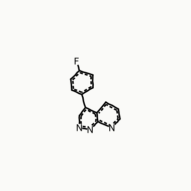 Fc1ccc(-c2cnnc3ncccc23)cc1